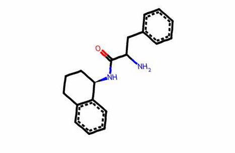 NC(Cc1ccccc1)C(=O)N[C@@H]1CCCc2ccccc21